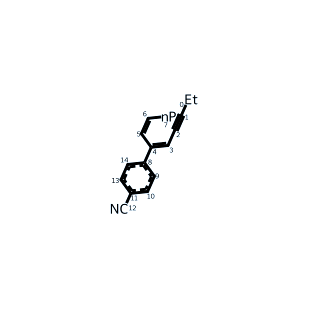 CCC#C/C=C(\C=C/CCC)c1ccc(C#N)cc1